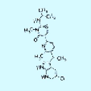 Cc1nc(-c2cnc(NC(C)C)n(C)c2=O)ccc1C(C)c1c[nH]c2c1C=C(Cl)CN2